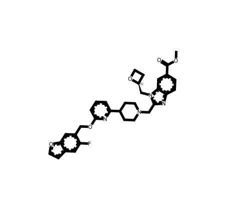 COC(=O)c1ccc2nc(CN3CCC(c4cccc(OCc5cc6occc6cc5F)n4)CC3)n(C[C@@H]3CCO3)c2c1